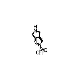 O=[SH](=O)n1cc2c(n1)CNC2